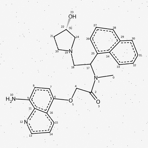 CN(C(=O)COc1ccc(N)c2ncccc12)C(CN1CC[C@H](O)C1)c1cccc2ccccc12